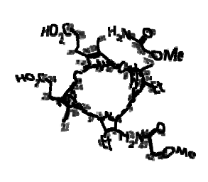 CCC1=C(C)c2cc3[nH]c(cc4nc(cc5[nH]c(cc1n2)c(C)c5CCC(=O)O)C(CCC(=O)O)=C4C)c(C)c3CC.COCC(N)=O.COCC(N)=O